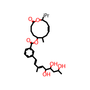 CC(C=Cc1cccc(C(=O)OC2CCCC(=O)OC(C(C)C)CC=CCC2C)c1)=CC(O)C(O)CC(C)O